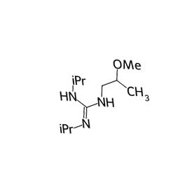 COC(C)CN/C(=N/C(C)C)NC(C)C